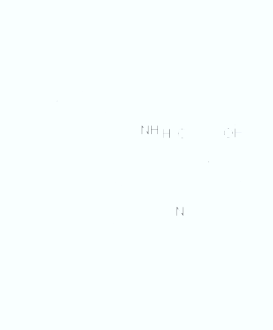 CC1(O)CCCN2CCc3c([nH]c4ccccc34)C21